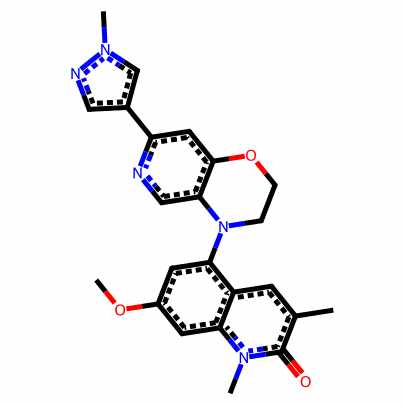 COc1cc(N2CCOc3cc(-c4cnn(C)c4)ncc32)c2cc(C)c(=O)n(C)c2c1